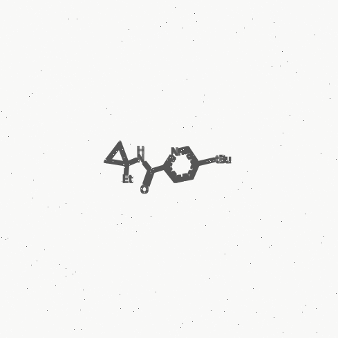 CCC1(NC(=O)c2ccc(C(C)(C)C)cn2)CC1